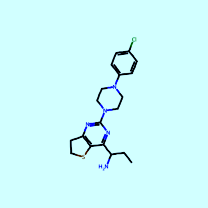 CCC(N)c1nc(N2CCN(c3ccc(Cl)cc3)CC2)nc2c1SCC2